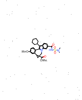 COC(=O)C12CC1c1cc(OC)ccc1-c1c(C3CCCCC3)c3ccc(C(=O)NS(=O)(=O)N(C)C)cc3n1C2